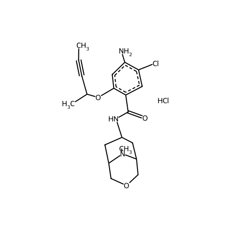 CC#CC(C)Oc1cc(N)c(Cl)cc1C(=O)NC1CC2COCC(C1)N2C.Cl